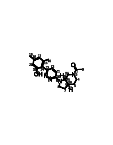 CC(=O)N1CC[C@@H]2CCN(c3ccc(-c4c(C)cc(C)cc4O)nn3)[C@@H]2C1